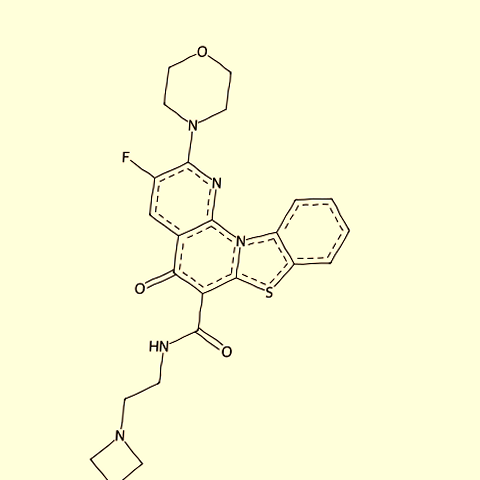 O=C(NCCN1CCC1)c1c(=O)c2cc(F)c(N3CCOCC3)nc2n2c1sc1ccccc12